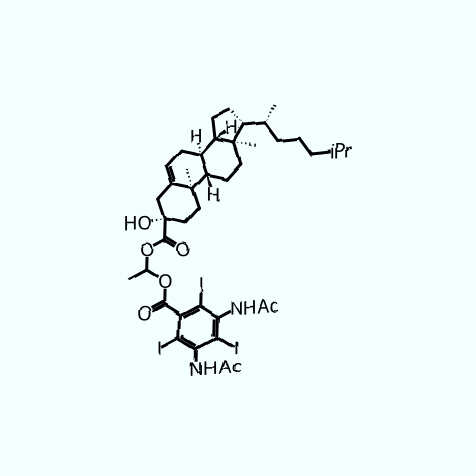 CC(=O)Nc1c(I)c(NC(C)=O)c(I)c(C(=O)OC(C)OC(=O)[C@]2(O)CC[C@@]3(C)C(=CC[C@H]4[C@@H]5CC[C@H]([C@H](C)CCCC(C)C)[C@@]5(C)CC[C@@H]43)C2)c1I